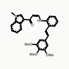 COc1cc(/C=C/c2ccccc2N/C=C\C(=O)c2cn(C)c3ccccc23)cc(OC)c1OC